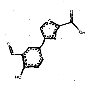 O=Cc1cc(-c2csc(C(=O)O)c2)ccc1O